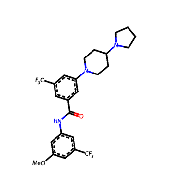 COc1cc(NC(=O)c2cc(N3CCC(N4CCCC4)CC3)cc(C(F)(F)F)c2)cc(C(F)(F)F)c1